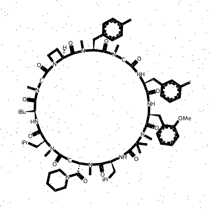 CC[C@H](C)[C@@H]1NC(=O)[C@H](CC(C)C)N(C)C(=O)C[C@@H](C(=O)N2CCCCC2)N(C)C(=O)[C@H](CC(C)C)NC(=O)C(C)(C)N(C)C(=O)[C@H](Cc2ccccc2OC)NC(=O)[C@H](Cc2cccc(I)c2)NC(=O)CN(C)C(=O)[C@H](Cc2ccc(C)cc2)N(C)C(=O)[C@@H]2CCN2C(=O)CN(C)C1=O